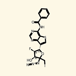 [N-]=[N+]=NC1(CI)O[C@@H](c2csc3c(NC(=O)c4ccccc4)ncnc23)[C@H](F)[C@@H]1O